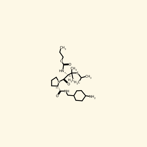 CCCOC(=O)N[C@@H](C(=O)N1CCC[C@H]1C(=O)NCC1CCC(N)CC1)C(C)(C)SC(C)C